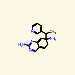 CC(c1cccnc1)C1(N)C=c2nc(N)ncc2=CC1